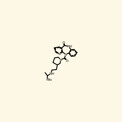 CCCCC(C)NCCC1CCCN(C(=O)N2c3ccccc3NC(=O)c3cccnc32)C1